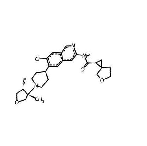 C[C@@]1(N2CCC(c3cc4cc(NC(=O)[C@H]5CC56CCOC6)ncc4cc3Cl)CC2)COC[C@@H]1F